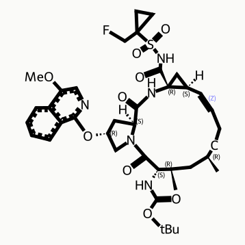 COc1cnc(O[C@@H]2C[C@H]3C(=O)N[C@]4(C(=O)NS(=O)(=O)C5(CF)CC5)C[C@H]4/C=C\CC[C@@H](C)C[C@@H](C)[C@H](NC(=O)OC(C)(C)C)C(=O)N3C2)c2ccccc12